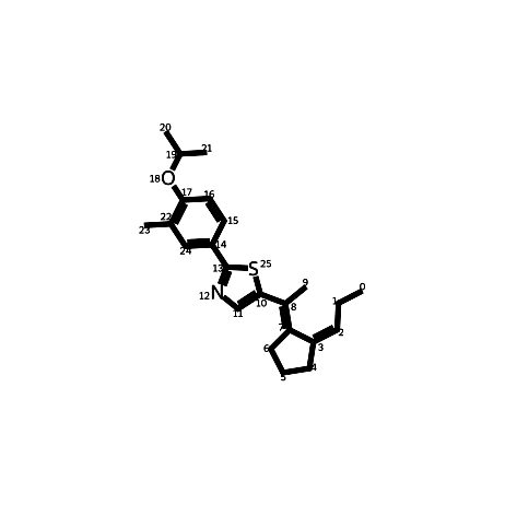 CC/C=C1/CCC/C1=C(/C)c1cnc(-c2ccc(OC(C)C)c(C)c2)s1